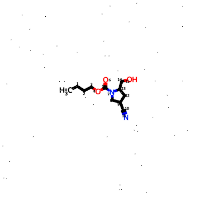 CCCCOC(=O)N1CC(C#N)CC1CO